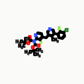 Cc1c(Cc2ccnc(N(C(=O)OC(C)(C)C)C(=O)OC(C)(C)C)c2F)cncc1-c1cccc(Cl)c1F